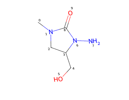 CN1CC(CO)N(N)C1=O